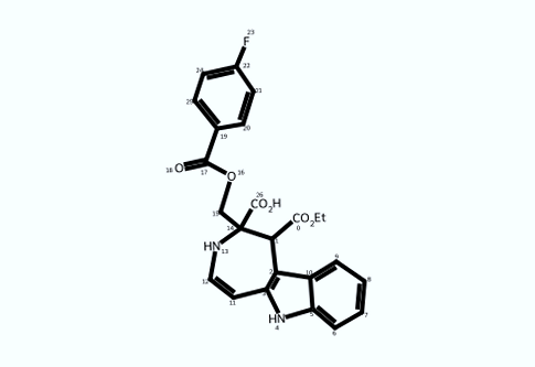 CCOC(=O)C1c2c([nH]c3ccccc23)C=CNC1(COC(=O)c1ccc(F)cc1)C(=O)O